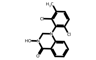 Cc1ccc(Cl)c(N2CN(O)C(=O)c3ccccc32)c1Cl